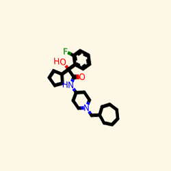 O=C(NC1CCN(CC2CCCCCC2)CC1)C(O)(c1ccccc1F)C1CCCC1